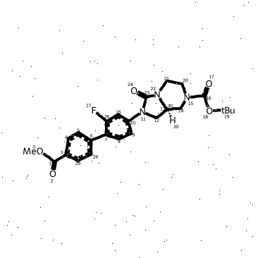 COC(=O)c1ccc(-c2ccc(N3C[C@@H]4CN(C(=O)OC(C)(C)C)CCN4C3=O)cc2F)cc1